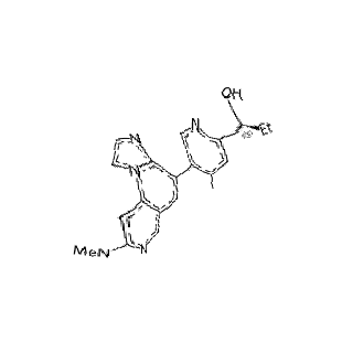 CC[C@H](O)c1cc(C)c(-c2cc3cnc(NC)cc3n3ccnc23)cn1